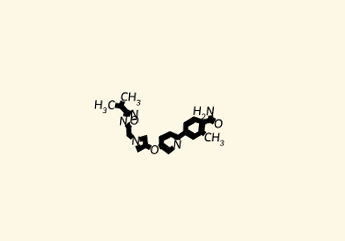 Cc1cc(-c2ccc(OC3CN(Cc4nc(C(C)C)no4)C3)cn2)ccc1C(N)=O